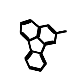 Cc1cc2c3c(cccc3c1)-c1ccccc1-2